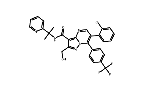 CC(C)(NC(=O)c1c(CO)nn2c(-c3ccc(C(F)(F)F)cc3)c(-c3ccccc3Cl)cnc12)c1ccccn1